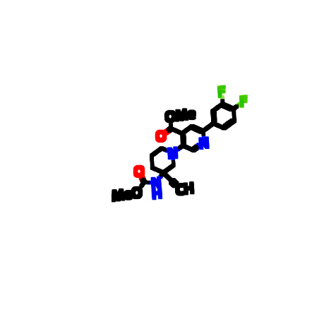 C#CC1(NC(=O)OC)CCCN(c2cnc(-c3ccc(F)c(F)c3)cc2C(=O)OC)C1